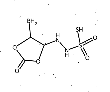 BC1OC(=O)OC1NNS(=O)(=O)S